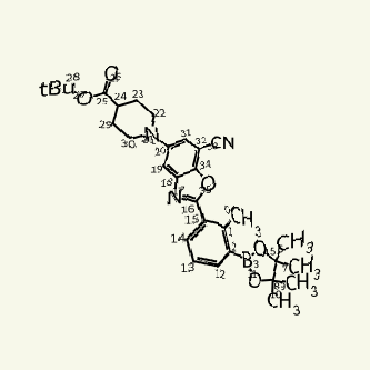 Cc1c(B2OC(C)(C)C(C)(C)O2)cccc1-c1nc2cc(N3CCC(C(=O)OC(C)(C)C)CC3)cc(C#N)c2o1